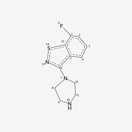 Fc1cccc2c(N3CCNCC3)nsc12